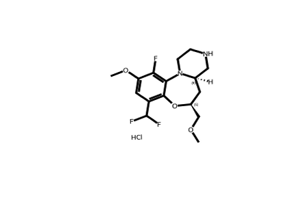 COC[C@@H]1C[C@@H]2CNCCN2c2c(F)c(OC)cc(C(F)F)c2O1.Cl